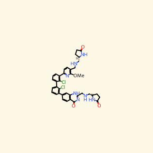 COc1nc(-c2cccc(-c3cccc(-c4ccc5c(=O)nc(CNC[C@H]6CCC(=O)N6)[nH]c5c4)c3Cl)c2Cl)ccc1CNC[C@@H]1CCC(=O)N1